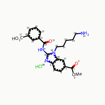 COC(=O)c1ccc2nc(NC(=O)c3cccc(C(=O)O)c3)n(CCCCCN)c2c1.Cl